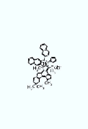 CC1=CC=c2c1c1c(c3c2=C(C)[CH]([Zr+2](=[C](c2ccc4ccccc4c2)c2ccc4ccccc4c2)[CH]2C=CC=C2)C3(C)C)CC2=C1CC(C)(C)C=C2.[Cl-].[Cl-]